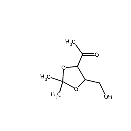 CC(=O)C1OC(C)(C)OC1CO